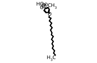 CCCCCCCCCCCCCCCCCCCOc1ccc(S(=O)(=O)O)c(C)c1